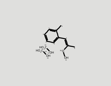 CC(=Cc1ccccc1C)OO.O=C(O)O.O=C(O)O